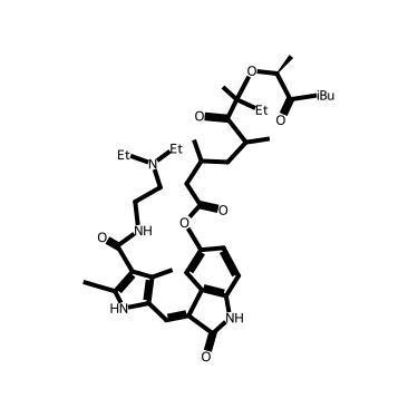 CCC(C)C(=O)[C@H](C)OC(C)(CC)C(=O)C(C)CC(C)CC(=O)Oc1ccc2c(c1)/C(=C\c1[nH]c(C)c(C(=O)NCCN(CC)CC)c1C)C(=O)N2